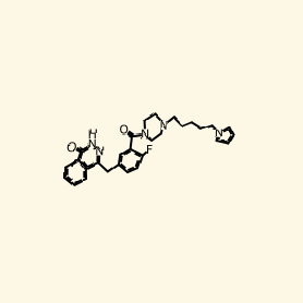 O=C(c1cc(Cc2n[nH]c(=O)c3ccccc23)ccc1F)N1CCN(CCCCCn2cccc2)CC1